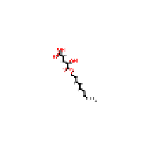 CCCCCCCCOC(=O)[C@H](O)CCC(=O)O